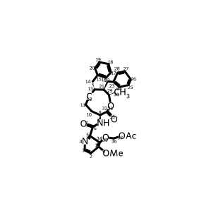 COc1ccnc(C(=O)N[C@H]2CCC[C@H](Cc3ccccc3)[C@@H](Cc3ccccc3)[C@H](C)OC2=O)c1OCOC(C)=O